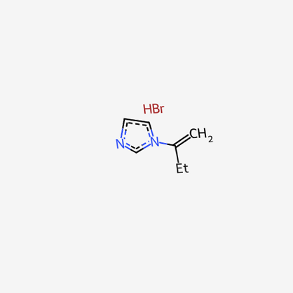 Br.C=C(CC)n1ccnc1